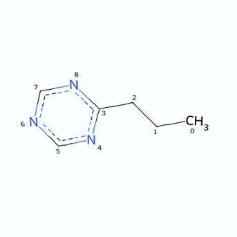 CCCc1ncncn1